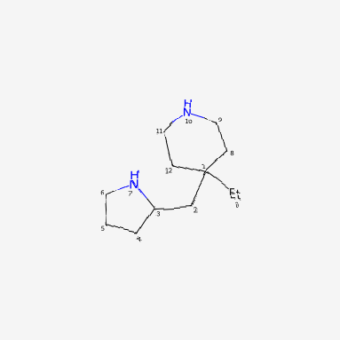 CCC1(CC2CCCN2)CCNCC1